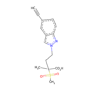 C#Cc1ccc2nn(CCC(C)(C(=O)O)S(C)(=O)=O)cc2c1